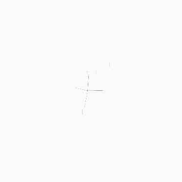 C.CC(F)(F)Cl